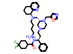 NCCCCN(C[C@H]1CN(CC[C@H](NC(=O)C2CCC(F)(F)CC2)c2ccccc2)CCN1Cc1cnco1)[C@H]1CCCc2cccnc21